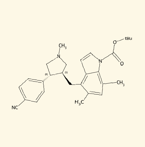 Cc1cc(C)c2c(ccn2C(=O)OC(C)(C)C)c1C[C@@H]1CN(C)C[C@H]1c1ccc(C#N)cc1